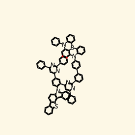 c1ccc(-c2cc(-c3ccc(-n4c5ccccc5c5c6sc7ccccc7c6ccc54)c(-c4cc(-c5ccccc5)nc(-c5cccc(-c6ccc(N7c8ccccc8B8c9ccccc9N(c9ccccc9)c9cccc7c98)cc6)c5)n4)c3)nc(-c3ccccc3)n2)cc1